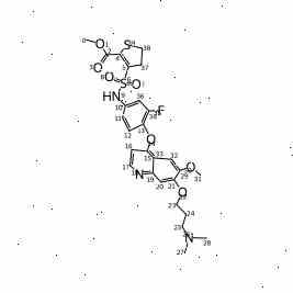 COC(=O)C1=C(S(=O)(=O)Nc2ccc(Oc3ccnc4cc(OCCCN(C)C)c(OC)cc34)c(F)c2)CCS1